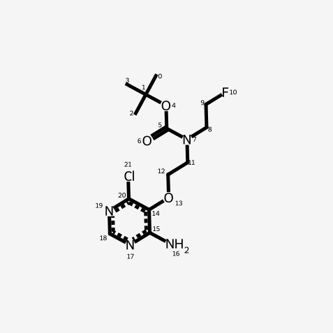 CC(C)(C)OC(=O)N(CCF)CCOc1c(N)ncnc1Cl